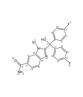 CCn1c(C(O)(c2ccc(F)cc2)c2ccc(F)cc2)nc2ccc(C(N)=O)cc21